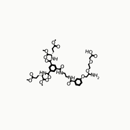 COC(=O)CC[C@H](NC(=O)c1cc(C(=O)NCCNC(=O)c2cccc(OCC(N)OCCOCC(=O)O)c2)cc(C(=O)N[C@@H](CCC(=O)OC)C(=O)OC)c1)C(=O)OC